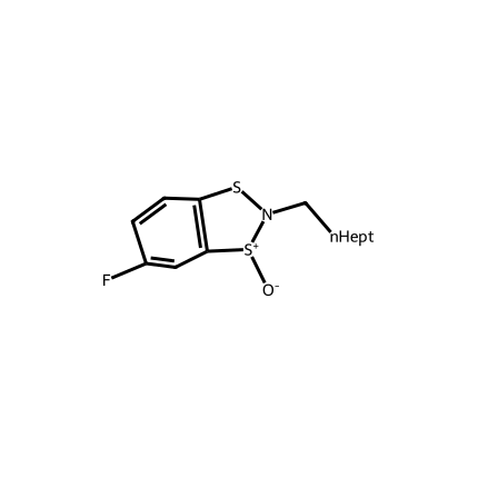 CCCCCCCCN1Sc2ccc(F)cc2[S+]1[O-]